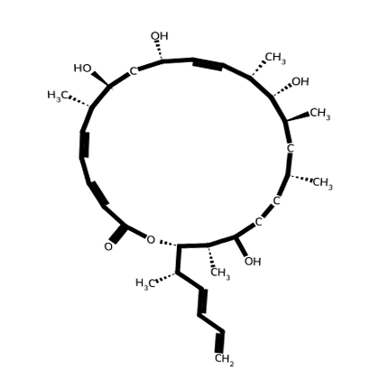 C=CC=C[C@H](C)[C@@H]1OC(=O)C=CC=C[C@H](C)[C@@H](O)C[C@H](O)C=C[C@H](C)[C@H](O)[C@@H](C)C[C@H](C)CCC(O)[C@@H]1C